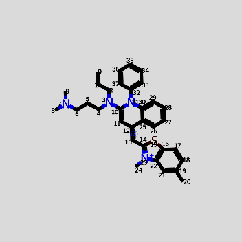 CCCN(CCCN(C)C)C1=C/C(=C/c2sc3ccc(C)cc3[n+]2C)c2ccccc2N1c1ccccc1